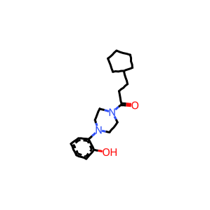 O=C(CCC1CCCCC1)N1CCN(c2ccccc2O)CC1